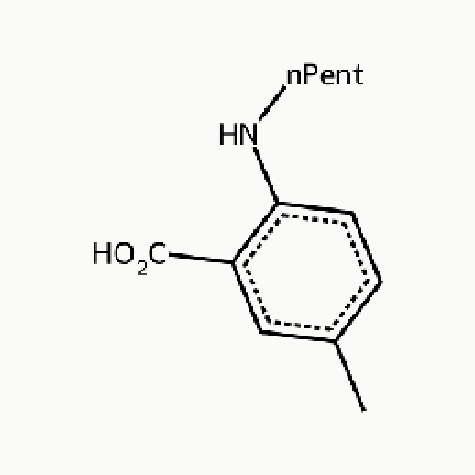 CCCCCNc1ccc(C)cc1C(=O)O